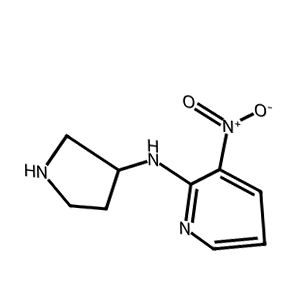 O=[N+]([O-])c1cccnc1NC1CCNC1